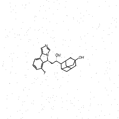 O[C@@H](C[C@H]1c2c(F)cccc2-c2cncn21)C1C2CC3CC1CC(O)(C3)C2